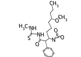 CCCC(CCCC(N=S(=O)=O)C(C(=O)NC(=S)NC)c1ccccc1)OC